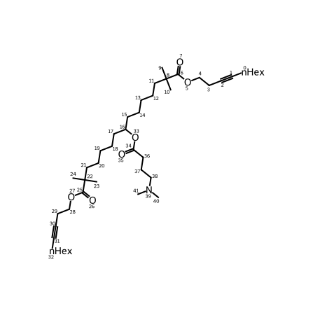 CCCCCCC#CCCOC(=O)C(C)(C)CCCCCC(CCCCCC(C)(C)C(=O)OCCC#CCCCCCC)OC(=O)CCCN(C)C